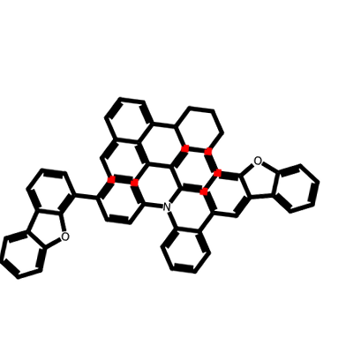 c1ccc(N(c2ccc(-c3cccc4c3oc3ccccc34)cc2)c2ccccc2-c2cccc3cccc(C4CCCCC4)c23)c(-c2ccc3oc4ccccc4c3c2)c1